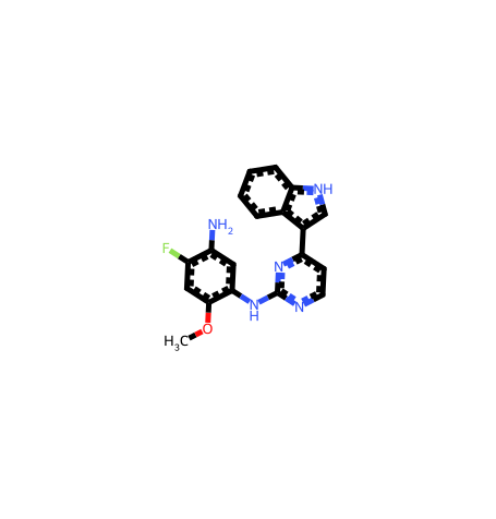 COc1cc(F)c(N)cc1Nc1nccc(-c2c[nH]c3ccccc23)n1